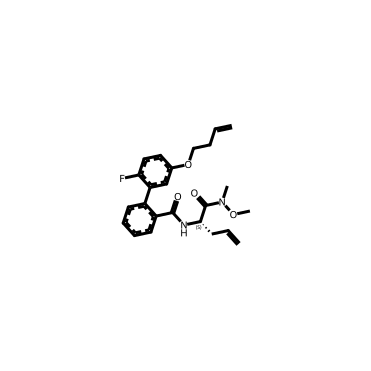 C=CCCOc1ccc(F)c(-c2ccccc2C(=O)N[C@@H](CC=C)C(=O)N(C)OC)c1